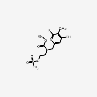 COc1c(O)cc(CN(CCOS(C)(=O)=O)C(=O)OC(C)(C)C)nc1F